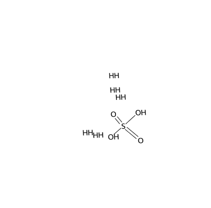 O=S(=O)(O)O.[HH].[HH].[HH].[HH].[HH]